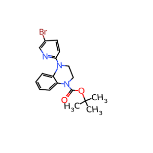 CC(C)(C)OC(=O)N1CCN(c2ccc(Br)cn2)c2ccccc21